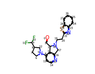 O=CC1c2c(N3CCC(C(F)F)C3)ccnc2CN1CCc1nc2ccccc2s1